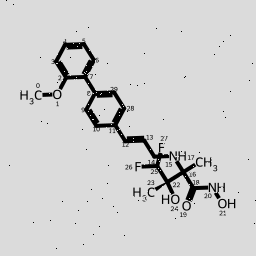 COc1ccccc1-c1ccc(/C=C/CNC(C)(C(=O)NO)[C@](C)(O)C(F)F)cc1